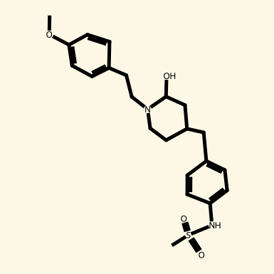 COc1ccc(CCN2CCC(Cc3ccc(NS(C)(=O)=O)cc3)CC2O)cc1